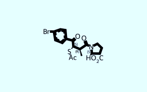 CC(=O)S[C@H](C(=O)c1ccc(Br)cc1)[C@H](C)C(=O)N1CCC[C@H]1C(=O)O